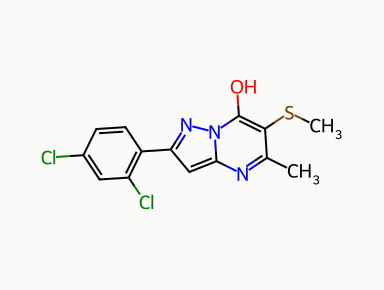 CSc1c(C)nc2cc(-c3ccc(Cl)cc3Cl)nn2c1O